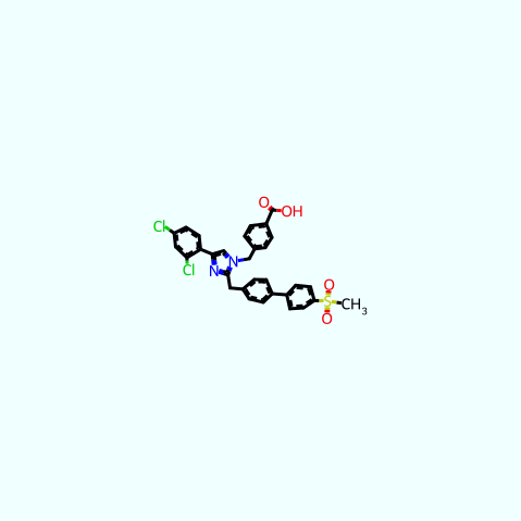 CS(=O)(=O)c1ccc(-c2ccc(Cc3nc(-c4ccc(Cl)cc4Cl)cn3Cc3ccc(C(=O)O)cc3)cc2)cc1